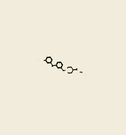 CCOC(=O)C1CCN(Cc2cccc(C(=O)c3cccc(C)c3)c2)CC1